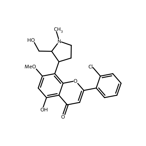 COc1cc(O)c2c(=O)cc(-c3ccccc3Cl)oc2c1C1CCN(C)C1CO